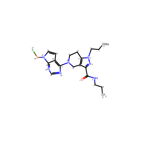 COCCn1nc(C(=O)NCCC(F)(F)F)c2c1CCN(c1ncnc3c1ccn3SF)C2